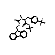 CN(C(=O)OCC1c2ccccc2-c2ccccc21)[C@@H](Cc1ccc(C(F)(F)F)nc1)C(=O)OC(C)(C)C